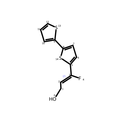 OC/C=C(\F)c1ccc(-c2cccs2)s1